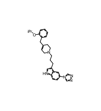 CC(C)Oc1ccccc1CC1=CCN(CCCc2c[nH]c3ccc(-n4cnnc4)cc23)CC1